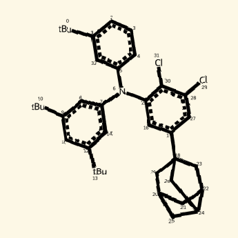 CC(C)(C)c1cccc(N(c2cc(C(C)(C)C)cc(C(C)(C)C)c2)c2cc(C34CC5CC(C3)C(C5)C4)cc(Cl)c2Cl)c1